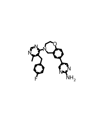 Cc1ncnc(N2CCOc3ccc(-c4cnc(N)nc4)cc3C2)c1Cc1ccc(F)cc1